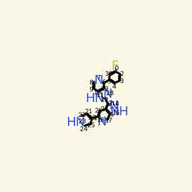 Fc1cccc(-c2nccc3[nH]c(-c4n[nH]c5cnc(C6=CCNCC6)cc45)nc23)c1